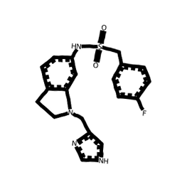 O=S(=O)(Cc1ccc(F)cc1)Nc1ccc2c(c1)N(Cc1c[nH]cn1)CC2